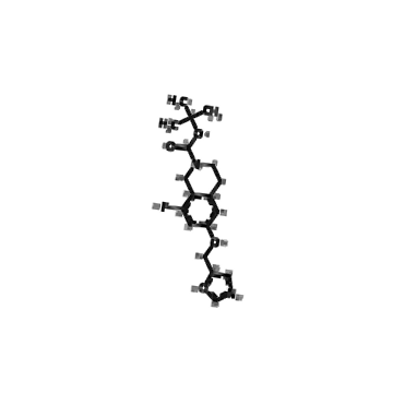 CC(C)(C)OC(=O)N1CCc2cc(OCc3cnco3)cc(F)c2C1